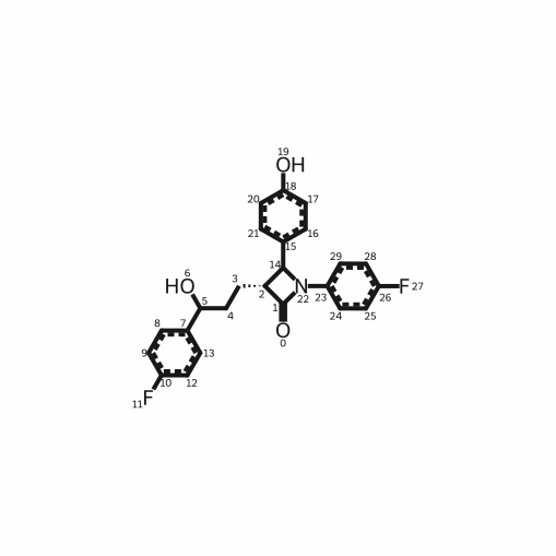 O=C1[C@H](CCC(O)c2ccc(F)cc2)C(c2ccc(O)cc2)N1c1ccc(F)cc1